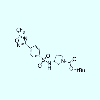 CC(C)(C)OC(=O)N1CC[C@@H](NS(=O)(=O)c2ccc(-c3noc(C(F)(F)F)n3)cc2)C1